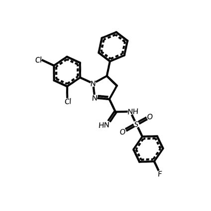 N=C(NS(=O)(=O)c1ccc(F)cc1)C1=NN(c2ccc(Cl)cc2Cl)C(c2ccccc2)C1